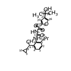 CC(C)c1cccc([C@H](C)C2CC2)c1NC(=O)NS(=O)(=O)c1cc(C(C)(C)O)co1